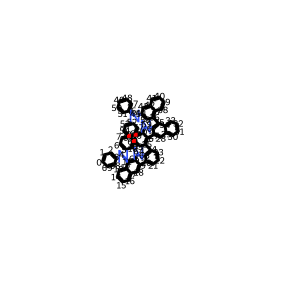 c1ccc(N(c2ccccc2)c2c3ccccc3cc3c4cccc5c6c7c8cc9ccccc9c9c%10c%11ccccc%11cc(N(c%11ccccc%11)c%11ccccc%11)c%10n(c7ccc6n(c23)c45)c89)cc1